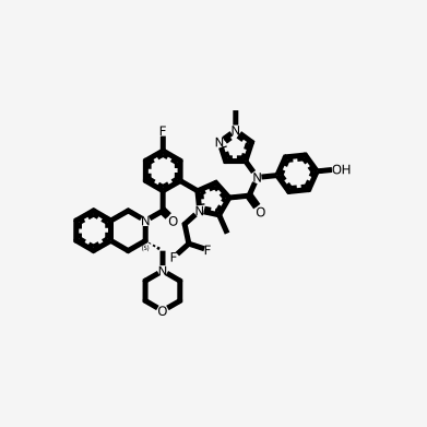 Cc1c(C(=O)N(c2ccc(O)cc2)c2cnn(C)c2)cc(-c2cc(F)ccc2C(=O)N2Cc3ccccc3C[C@H]2CN2CCOCC2)n1CC(F)F